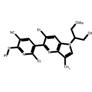 CCc1cc2c(nc1-c1cc(C#N)c(OC(C)C)nc1CC)c(C)cn2C(COC)COC